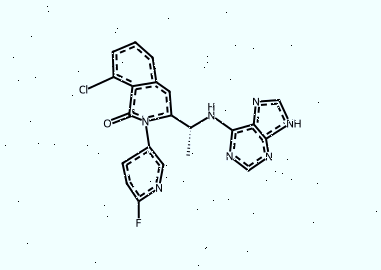 C[C@@H](Nc1ncnc2[nH]cnc12)c1cc2cccc(Cl)c2c(=O)n1-c1ccc(F)nc1